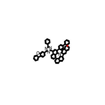 c1ccc(-c2ccc(-c3cc(-c4nc(-c5ccccc5)nc(-c5ccc6c(c5)oc5ccccc56)n4)c4ccccc4c3-n3c4cc5ccccc5cc4c4ccc5ccccc5c43)cc2)cc1